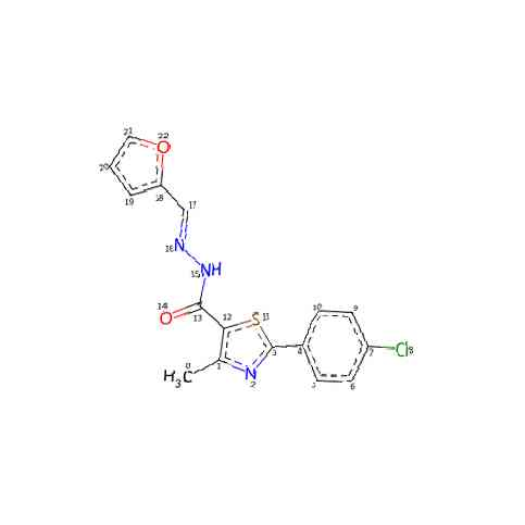 Cc1nc(-c2ccc(Cl)cc2)sc1C(=O)N/N=C/c1ccco1